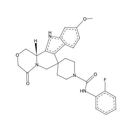 COc1ccc2c3c([nH]c2c1)[C@H]1COCC(=O)N1CC31CCN(C(=O)Nc2ccccc2F)CC1